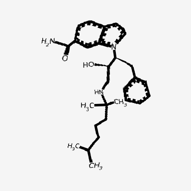 CC(C)CCCC(C)(C)NC[C@@H](O)[C@H](Cc1ccccc1)n1ccc2ccc(C(N)=O)cc21